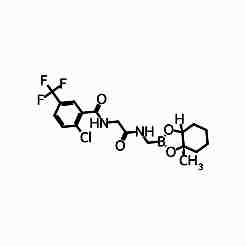 C[C@]12CCCC[C@H]1OB(CNC(=O)CNC(=O)c1cc(C(F)(F)F)ccc1Cl)O2